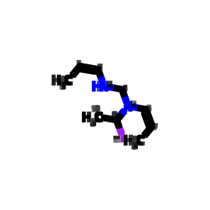 C/C=C\NCN(/C=C\C)C(C)I